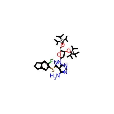 CC(C)[Si](OC[C@H]1O[C@@H](n2nc(Sc3cc4c(cc3F)CCC4)c3c(N)ncnc32)C[C@@H]1O[Si](C(C)C)(C(C)C)C(C)C)(C(C)C)C(C)C